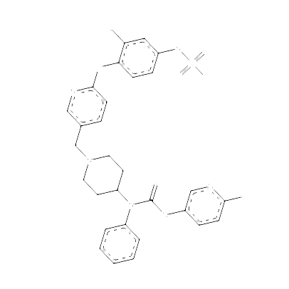 Cc1ccc(NC(=O)N(c2ccccc2)C2CCN(Cc3ccc(Oc4ccc(NS(C)(=O)=O)cc4Cl)nc3)CC2)cn1.Cl.Cl